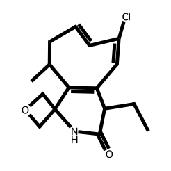 CCC1C(=O)NC2(COC2)C2=C1/C=C(Cl)\C=C\CC2C